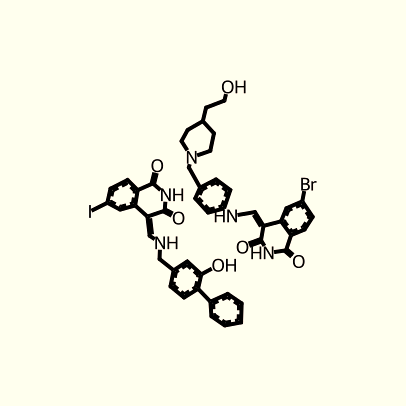 O=C1NC(=O)c2ccc(Br)cc2/C1=C/Nc1ccc(CN2CCC(CCO)CC2)cc1.O=C1NC(=O)c2ccc(I)cc2/C1=C/NCc1ccc(-c2ccccc2)c(O)c1